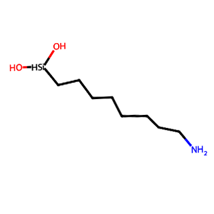 NCCCCCCCC[SiH](O)O